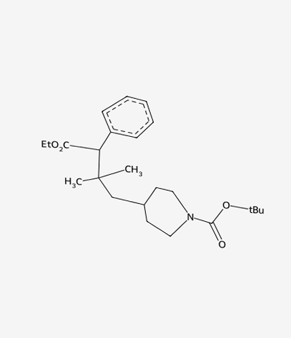 CCOC(=O)C(c1ccccc1)C(C)(C)CC1CCN(C(=O)OC(C)(C)C)CC1